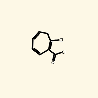 O=C(Cl)C1=C(Cl)CC=CC=C1